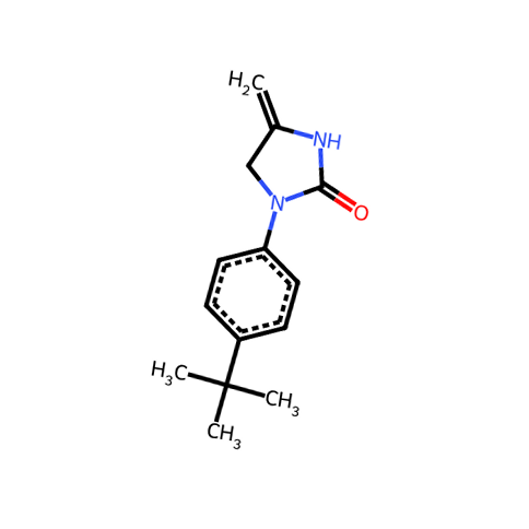 C=C1CN(c2ccc(C(C)(C)C)cc2)C(=O)N1